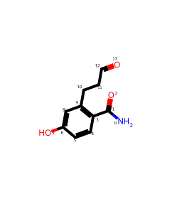 NC(=O)c1ccc(O)cc1CCC=O